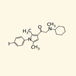 Cc1cc(C(=O)CN(C)C2CCCCC2)c(C)n1-c1ccc(I)cc1